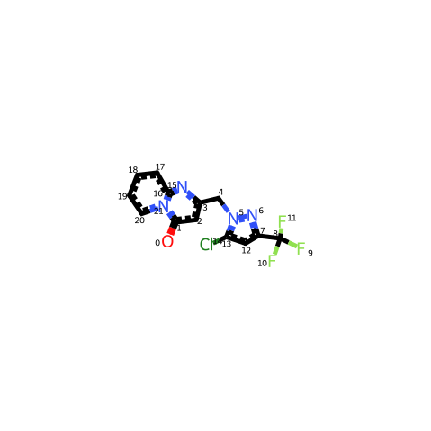 O=c1cc(Cn2nc(C(F)(F)F)cc2Cl)nc2ccccn12